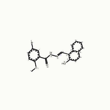 COc1ccc(Br)cc1C(=O)N/N=C/c1c(O)ccc2ccccc12